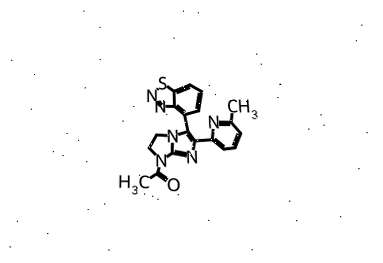 CC(=O)N1CCn2c1nc(-c1cccc(C)n1)c2-c1cccc2snnc12